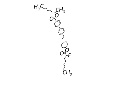 CCCCCC[C@@H](C)OC(=O)c1ccc(-c2ccc(CC[C@H]3CC[C@H](OC(=O)[C@@H](F)CCCCCC)CC3)cc2)cc1